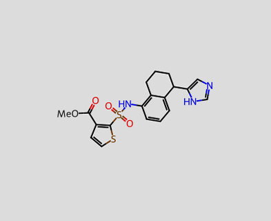 COC(=O)c1ccsc1S(=O)(=O)Nc1cccc2c1CCCC2c1cnc[nH]1